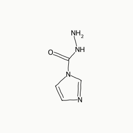 NNC(=O)n1ccnc1